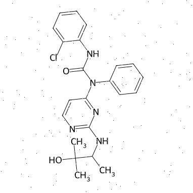 CC(Nc1nccc(N(C(=O)Nc2ccccc2Cl)c2ccccc2)n1)C(C)(C)O